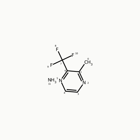 Cc1nccnc1C(F)(F)F.N